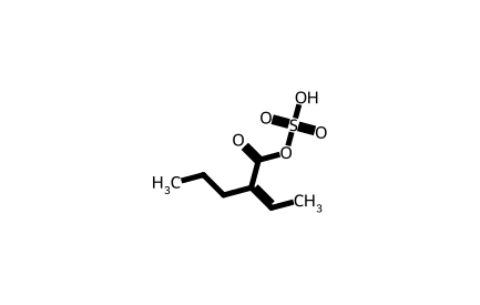 CC=C(CCC)C(=O)OS(=O)(=O)O